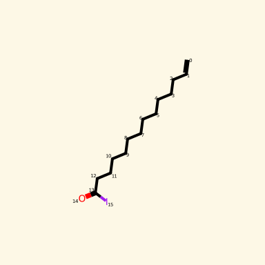 C=CCCCCCCCCCCCC(=O)I